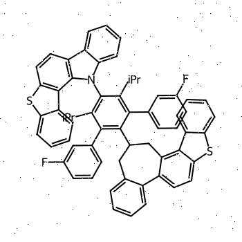 CC(C)c1c(-c2cccc(F)c2)c(C2Cc3ccccc3-c3ccc4sc5ccccc5c4c3C2)c(-c2cccc(F)c2)c(C(C)C)c1-n1c2ccccc2c2ccc3sc4ccccc4c3c21